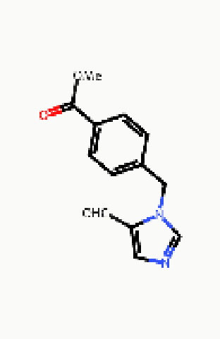 COC(=O)c1ccc(Cn2cncc2C=O)cc1